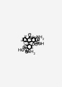 Cc1c(/C(=C2/C=CC(N)=C(S(=O)(=O)O)C2=O)c2ccccc2C(=O)O)ccc(N)c1S(=O)(=O)O